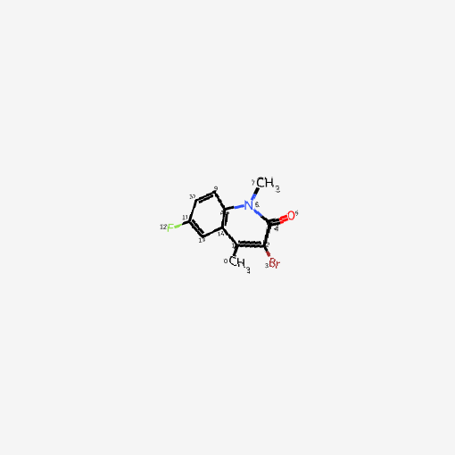 Cc1c(Br)c(=O)n(C)c2ccc(F)cc12